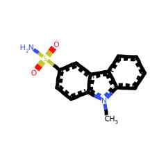 Cn1c2ccccc2c2cc(S(N)(=O)=O)ccc21